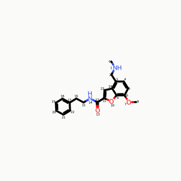 CNCc1ccc(OC)c2oc(C(=O)NCCc3ccccc3)cc12